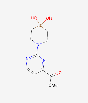 COC(=O)c1ccnc(N2CCS(O)(O)CC2)n1